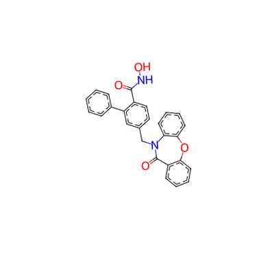 O=C(NO)c1ccc(CN2C(=O)c3ccccc3Oc3ccccc32)cc1-c1ccccc1